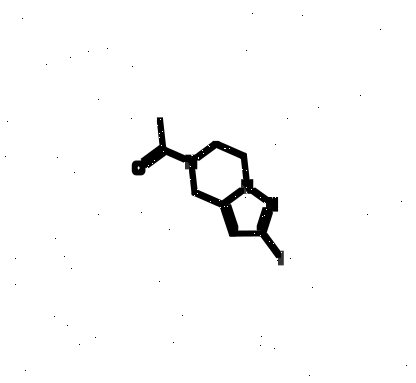 CC(=O)N1CCn2nc(I)cc2C1